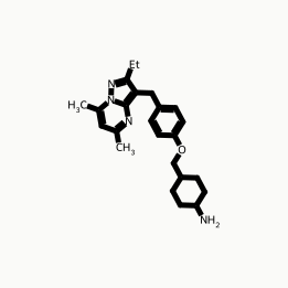 CCc1nn2c(C)cc(C)nc2c1Cc1ccc(OCC2CCC(N)CC2)cc1